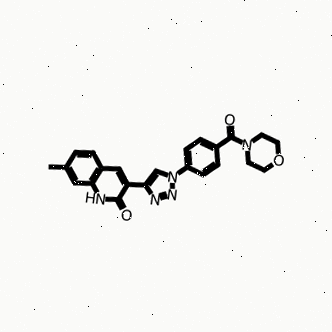 Cc1ccc2cc(-c3cn(-c4ccc(C(=O)N5CCOCC5)cc4)nn3)c(=O)[nH]c2c1